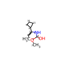 C/C=C(\NC(O)OC)C1CCC1